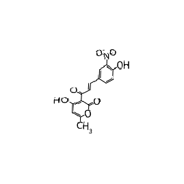 Cc1cc(O)c(C(=O)/C=C/c2ccc(O)c([N+](=O)[O-])c2)c(=O)o1